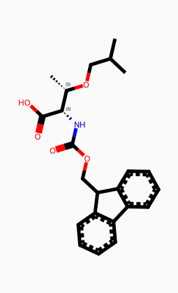 CC(C)CO[C@@H](C)[C@H](NC(=O)OCC1c2ccccc2-c2ccccc21)C(=O)O